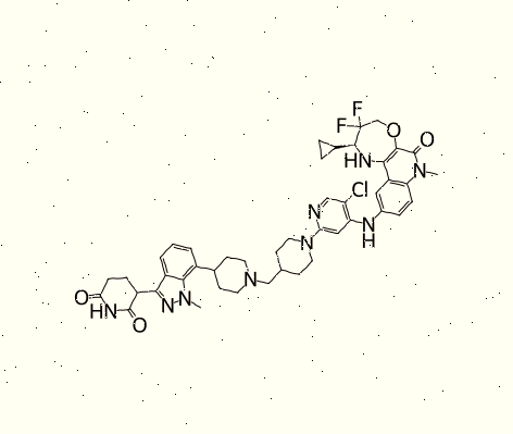 Cn1nc(C2CCC(=O)NC2=O)c2cccc(C3CCN(CC4CCN(c5cc(Nc6ccc7c(c6)c6c(c(=O)n7C)OCC(F)(F)[C@H](C7CC7)N6)c(Cl)cn5)CC4)CC3)c21